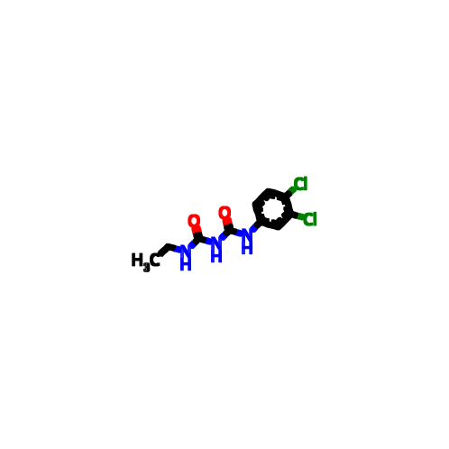 CCNC(=O)NC(=O)Nc1ccc(Cl)c(Cl)c1